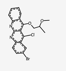 COC(C)COc1c2ccccc2nc2nc3ccc(Br)cc3c(Cl)c12